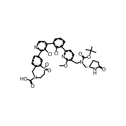 COc1nc(-c2cccc(-c3ccnc(-c4ccc5c(c4)S(=O)(=O)CCN(C(=O)O)C5)c3Cl)c2Cl)ccc1CN(C[C@@H]1CCC(=O)N1)C(=O)OC(C)(C)C